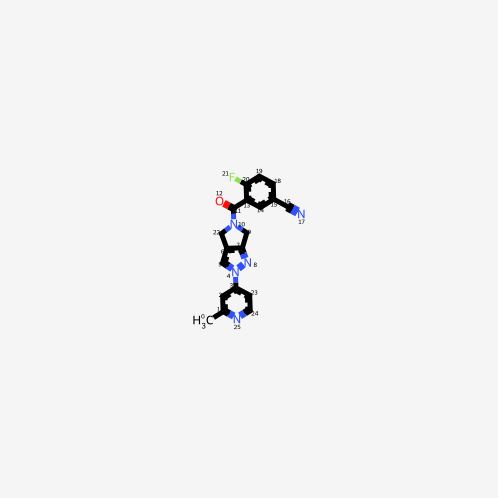 Cc1cc(-n2cc3c(n2)CN(C(=O)c2cc(C#N)ccc2F)C3)ccn1